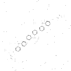 C=C(C)C(=O)OCCc1ccc2c(c1)C(C)(C)c1cc(-c3ccc4c(c3)C(C)(C)c3cc(-c5ccc6c(c5)C(C)(C)c5cc(C(C)OC(=O)C(=C)C)ccc5-6)ccc3-4)ccc1-2